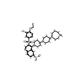 CCOc1ccc(S(=O)(=O)c2cnc3ccc([S+](C)[O-])cc3c2N2CCC(N3CCC(N4CCCN(C)CC4)CC3)CC2)cc1F